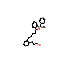 CC(C)(C)[Si](OCCCCCc1ccccc1CCCO)(c1ccccc1)c1ccccc1